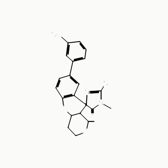 CC1OCCC2Oc3ccc(-c4cccc(C#N)c4)cc3C3(N=C(N)N(C)C3=O)C12